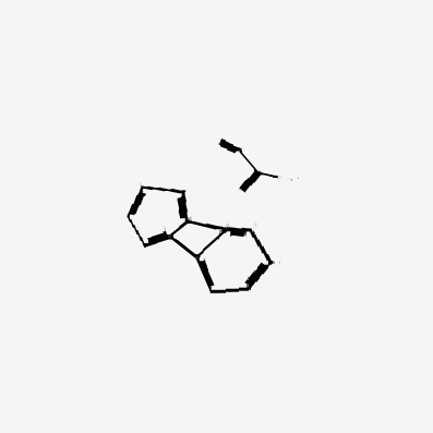 C=CC(=O)O.c1ccc2c(c1)-c1ccccc1-2